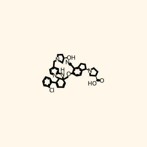 CC1C(c2ccccc2Cl)=CC=CC1(COc1ccc2c(c1C#N)CC[C@H]2N1CC[C@@H](C(=O)O)C1)Nc1cc(CN2CC[C@@H](O)C2)ccn1